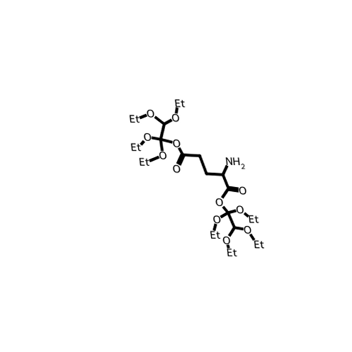 CCOC(OCC)C(OCC)(OCC)OC(=O)CCC(N)C(=O)OC(OCC)(OCC)C(OCC)OCC